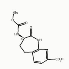 CC(C)(C)OC(=O)N[C@@H]1CCc2ccc(C(=O)O)cc2NC1=O